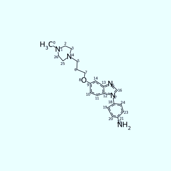 CN1CCN(CCCOc2ccc3c(c2)ncn3-c2ccc(N)cc2)CC1